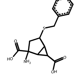 NC1(C(=O)O)CC(SCc2ccccc2)C2C(C(=O)O)C21